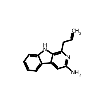 C=CCc1nc(N)cc2c1[nH]c1ccccc12